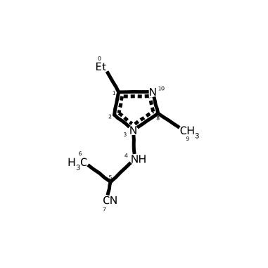 CCc1cn(NC(C)C#N)c(C)n1